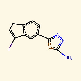 Nc1nnc(-c2ccc3c(c2)C(I)=CC3)s1